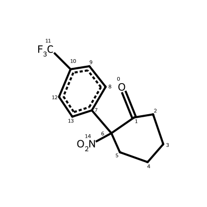 O=C1CCCCC1(c1ccc(C(F)(F)F)cc1)[N+](=O)[O-]